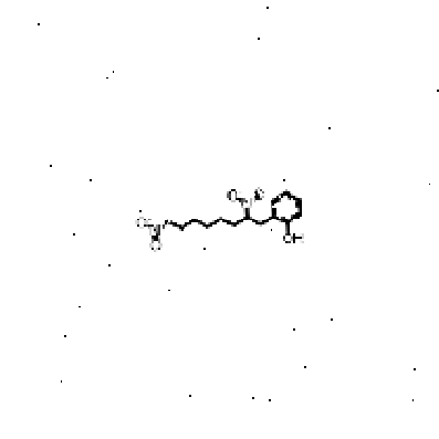 O=[N+]([O-])CCCCCCC(Cc1ccccc1O)[N+](=O)[O-]